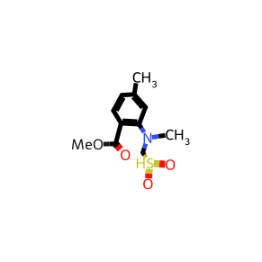 COC(=O)c1ccc(C)cc1N(C)C[SH](=O)=O